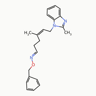 CC(=CCn1c(C)nc2ccccc21)CCC=NOCc1ccccc1